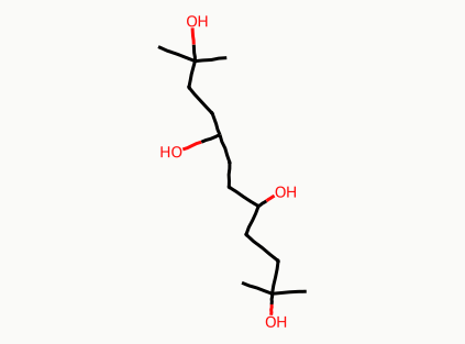 CC(C)(O)CCC(O)CCC(O)CCC(C)(C)O